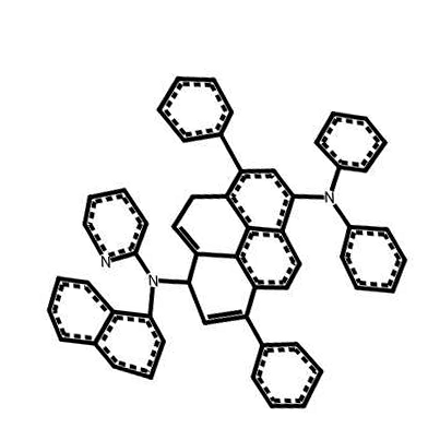 C1=C(c2ccccc2)c2ccc3c(N(c4ccccc4)c4ccccc4)cc(-c4ccccc4)c4c3c2C(=CC4)C1N(c1ccccn1)c1cccc2ccccc12